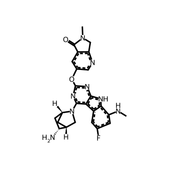 CNc1cc(F)cc2c1[nH]c1nc(Oc3cnc4c(c3)C(=O)N(C)C4)nc(N3C[C@H]4C[C@@H]3C[C@H]4N)c12